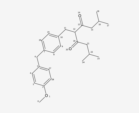 COc1ccc(Cc2ccc(CC(C(=O)CC(C)C)C(=O)CC(C)C)cc2)cc1